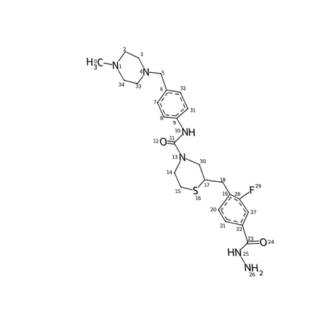 CN1CCN(Cc2ccc(NC(=O)N3CCSC(Cc4ccc(C(=O)NN)cc4F)C3)cc2)CC1